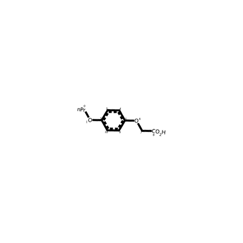 CCCOc1ccc(OCC(=O)O)cc1